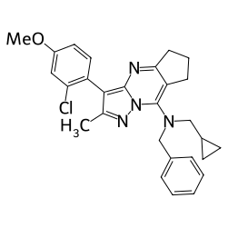 COc1ccc(-c2c(C)nn3c(N(Cc4ccccc4)CC4CC4)c4c(nc23)CCC4)c(Cl)c1